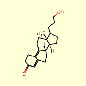 C[C@]12CCC3=C4CCC(=O)C=C4CC[C@H]3[C@@H]1CCC2CCCO